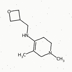 CC1=C(NCC2COC2)CCN(C)C1